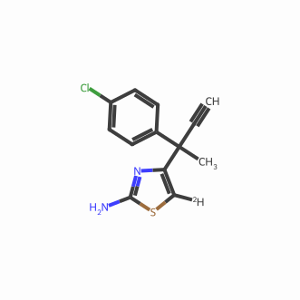 [2H]c1sc(N)nc1C(C)(C#C)c1ccc(Cl)cc1